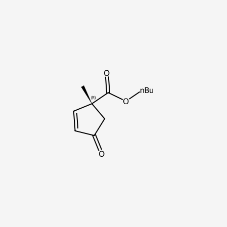 CCCCOC(=O)[C@@]1(C)C=CC(=O)C1